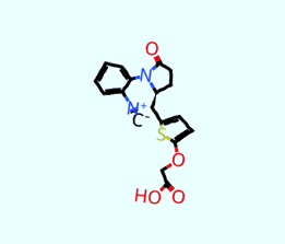 [C-]#[N+]c1ccccc1N1C(=O)CC[C@H]1Cc1ccc(OCC(=O)O)s1